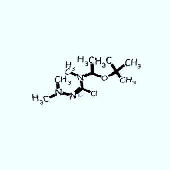 CC(OC(C)(C)C)N(C)/C(Cl)=N\N(C)C